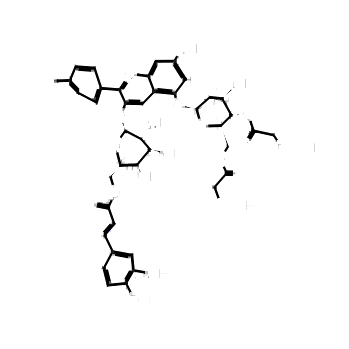 O=C(O)CC(=O)OC[C@H]1O[C@@H](Oc2cc(O)cc3[o+]c(-c4ccc(O)cc4)c(O[C@@H]4O[C@H](COC(=O)/C=C/c5ccc(O)c(O)c5)[C@@H](O)[C@H](O)[C@H]4O)cc23)[C@H](O)[C@@H](O)[C@@H]1OC(=O)CC(=O)O